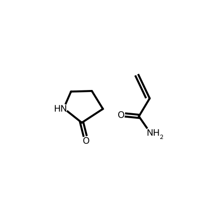 C=CC(N)=O.O=C1CCCN1